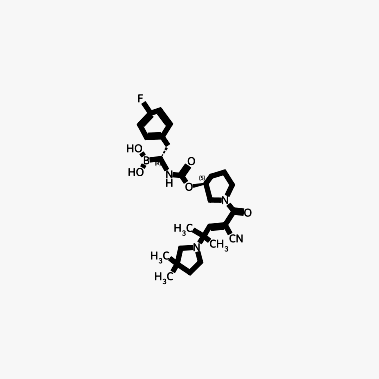 CC1(C)CCN(C(C)(C)C=C(C#N)C(=O)N2CCC[C@H](OC(=O)N[C@@H](Cc3ccc(F)cc3)B(O)O)C2)C1